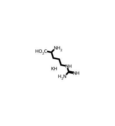 N=C(N)NCCCC(N)C(=O)O.[KH]